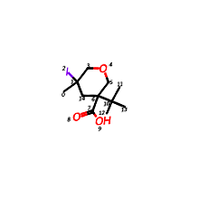 CC1(I)COCC(C(=O)O)(C(C)(C)C)C1